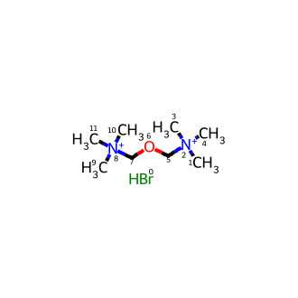 Br.C[N+](C)(C)COC[N+](C)(C)C